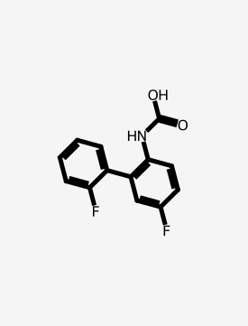 O=C(O)Nc1ccc(F)cc1-c1ccccc1F